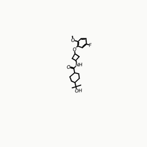 COc1ccc(F)cc1OC1CC(NC(=O)C2CCC(C(C)(C)O)CC2)C1